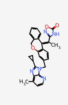 CC(=C1c2ccccc2COc2cc(Cn3c(C4CC4)nc4c(C)ccnc43)ccc21)c1noc(=O)[nH]1